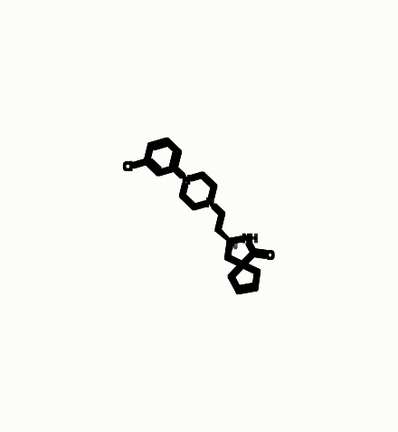 O=C1N[C@H](CCN2CCN(c3cccc(Cl)c3)CC2)CC12CC=CC2